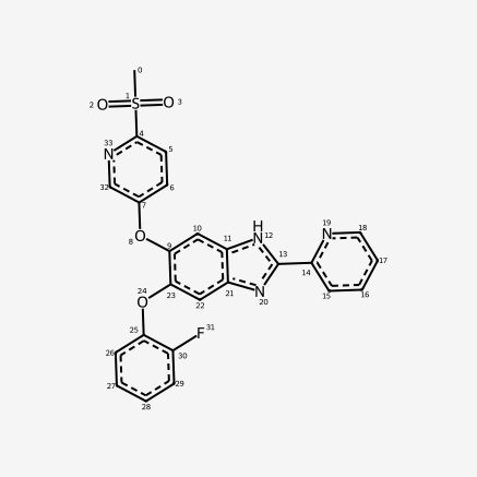 CS(=O)(=O)c1ccc(Oc2cc3[nH]c(-c4ccccn4)nc3cc2Oc2ccccc2F)cn1